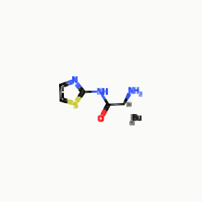 CC[C@H](C)[C@H](N)C(=O)Nc1nccs1